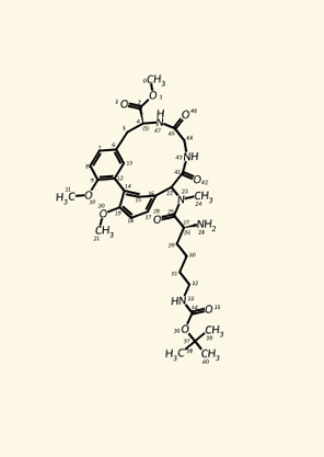 COC(=O)[C@@H]1Cc2ccc(OC)c(c2)-c2cc(ccc2OC)C(N(C)C(=O)[C@@H](N)CCCCNC(=O)OC(C)(C)C)C(=O)NCC(=O)N1